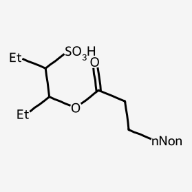 CCCCCCCCCCCC(=O)OC(CC)C(CC)S(=O)(=O)O